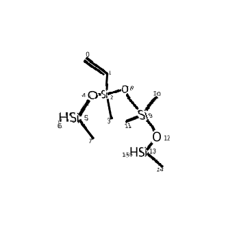 C=C[Si](C)(O[SiH](C)C)O[Si](C)(C)O[SiH](C)C